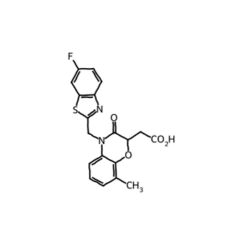 Cc1cccc2c1OC(CC(=O)O)C(=O)N2Cc1nc2ccc(F)cc2s1